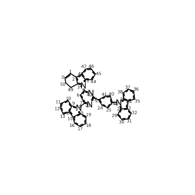 C1=Cc2c(n(-c3cc(-n4c5ccccc5c5ccccc54)nc(-c4ccc(-n5c6ccccc6c6ccccc65)cc4)n3)c3ccccc23)CC1